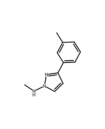 CNn1ccc(-c2cccc(C)c2)n1